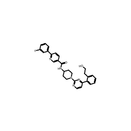 O=C(NC1CCN(c2nccc(-c3ccccc3CCO)n2)CC1)c1ccc(-c2cccc(F)c2)nc1